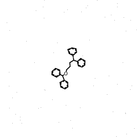 c1ccc(C(CCCOC(c2ccccc2)c2ccccc2)c2ccccc2)cc1